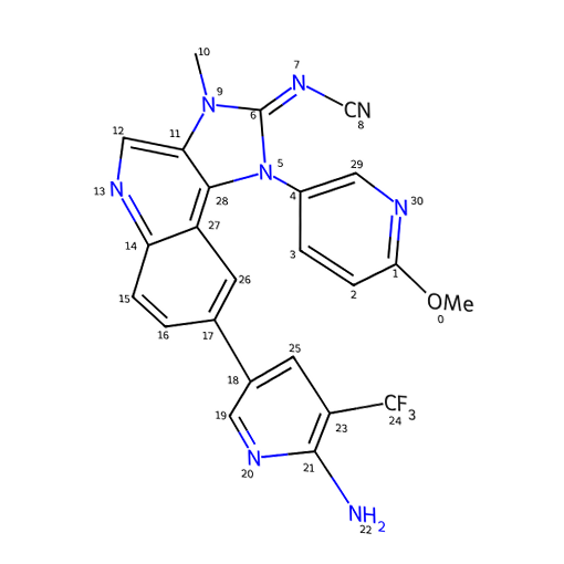 COc1ccc(-n2c(=NC#N)n(C)c3cnc4ccc(-c5cnc(N)c(C(F)(F)F)c5)cc4c32)cn1